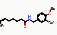 COc1cc(CNC(=O)CCCC/C=C\C(C)C)ccc1OC(C)(C)C